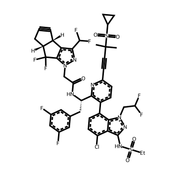 CCS(=O)(=O)Nc1nn(CC(F)F)c2c(-c3ccc(C#CC(C)(C)S(=O)(=O)C4CC4)nc3[C@H](Cc3cc(F)cc(F)c3)NC(=O)Cn3nc(C(F)F)c4c3C(F)(F)[C@@H]3CC#C[C@H]43)ccc(Cl)c12